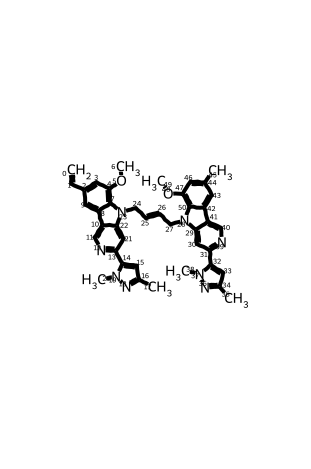 C=Cc1cc(OC)c2c(c1)c1cnc(-c3cc(C)nn3C)cc1n2C/C=C/Cn1c2cc(-c3cc(C)nn3C)ncc2c2cc(C)cc(OC)c21